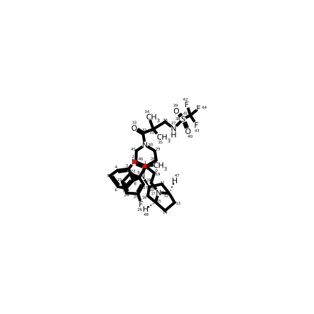 Cc1nc2ccccc2n1[C@H]1C[C@H]2CC[C@@H](C1)N2CCC1(c2cccc(F)c2)CCN(C(=O)C(C)(C)CNS(=O)(=O)C(F)(F)F)CC1